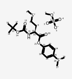 COS(=O)(=O)[O-].CSCC[C@H](NC(=O)OC(C)(C)C)C(=O)Oc1ccc([S+](C)C)cc1